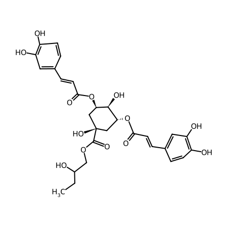 CCC(O)COC(=O)[C@]1(O)C[C@@H](OC(=O)/C=C/c2ccc(O)c(O)c2)[C@@H](O)[C@H](OC(=O)/C=C/c2ccc(O)c(O)c2)C1